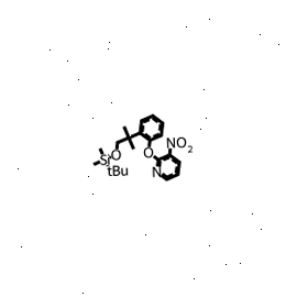 CC(C)(CO[Si](C)(C)C(C)(C)C)c1ccccc1Oc1ncccc1[N+](=O)[O-]